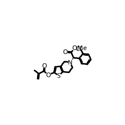 C=C(C)C(=O)Oc1cc2c(s1)CCN([C@H](C(=O)OC)c1ccccc1Cl)C2